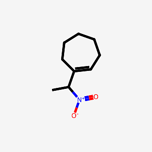 CC(C1=CCCCCC1)[N+](=O)[O-]